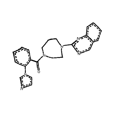 O=C(c1ccccc1-n1ccnc1)N1CCCN(c2ncc3ccccc3n2)CC1